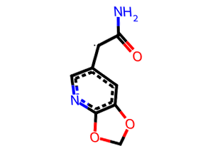 NC(=O)[CH]c1cnc2c(c1)OCO2